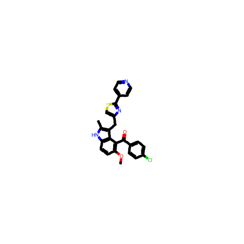 COc1ccc2[nH]c(C)c(Cc3csc(-c4ccncc4)n3)c2c1C(=O)c1ccc(Cl)cc1